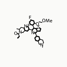 C=CC(=O)N1Cc2cc(-c3nc(-c4ccc5c(c4)CCN(C)C5)c4ccsc4c3-c3c(F)cc(F)cc3OCCOC)cnc2CC1C